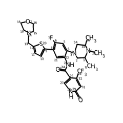 CC1CN(c2cc(F)c(-c3ccc(CN4CCOCC4)s3)cc2NC(=O)c2c[nH]c(=O)cc2C(F)(F)F)CC(C)N1C